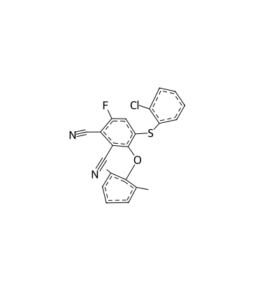 Cc1cccc(C)c1Oc1c(Sc2ccccc2Cl)cc(F)c(C#N)c1C#N